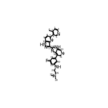 Cc1ccncc1-c1ccc2[nH]nc(-c3nc4c(-c5cc(F)cc(NCCN(C)C)c5)cncc4[nH]3)c2n1